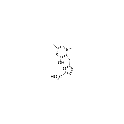 Cc1cc(C)c(Cc2ccc(C(=O)O)o2)c(O)c1